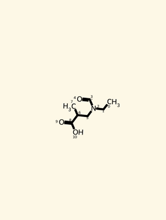 CCN([C]=O)CC(C)C(=O)O